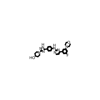 OC1CCN(c2n[nH]c(-c3ccc(Nc4nccc(-c5cc(F)cc(N6CCOCC6)c5)n4)cc3)n2)CC1